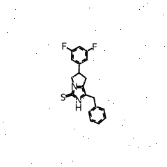 Fc1cc(F)cc(C2Cc3c(Cc4ccccc4)[nH]c(=S)n3C2)c1